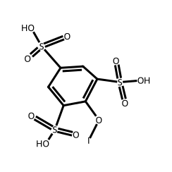 O=S(=O)(O)c1cc(S(=O)(=O)O)c(OI)c(S(=O)(=O)O)c1